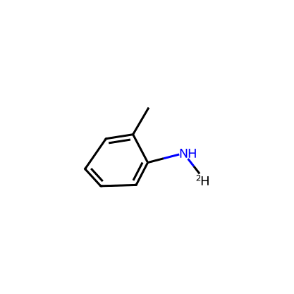 [2H]Nc1ccccc1C